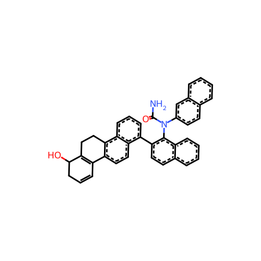 NC(=O)N(c1ccc2ccccc2c1)c1c(-c2cccc3c4c(ccc23)C2=C(CC4)C(O)CC=C2)ccc2ccccc12